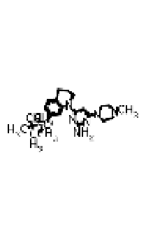 CN1CCN(c2cc(N3CCCc4ccc(O[Si](C)(C)C(C)(C)C)cc43)nc(N)n2)CC1